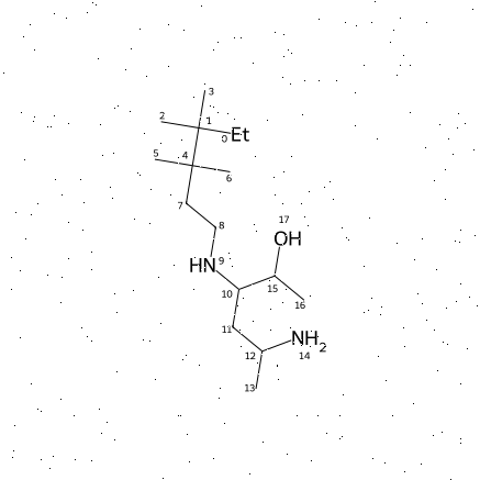 CCC(C)(C)C(C)(C)CCNC(CC(C)N)C(C)O